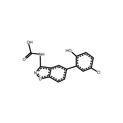 O=C(O)Nc1noc2ccc(-c3cc(Cl)ccc3O)cc12